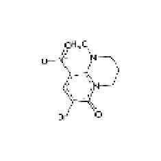 CN1CCCn2c1c([N+](=O)[O-])cc(Br)c2=O